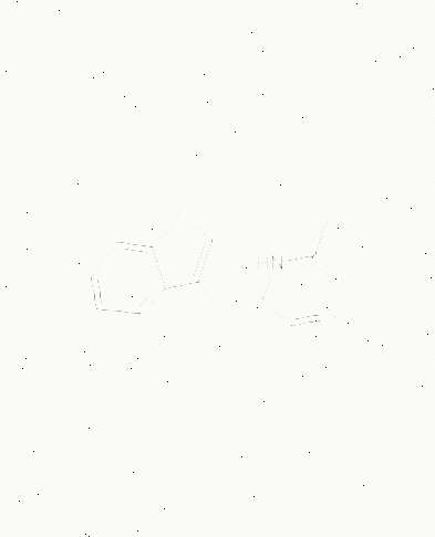 CC(=O)N[C@H](C=O)Cc1csc2ccccc12